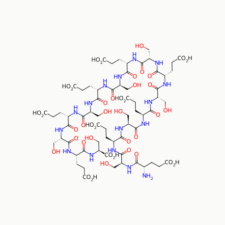 N[C@@H](CCC(=O)O)C(=O)N[C@@H](CO)C(=O)N[C@@H](CCC(=O)O)C(=O)N[C@@H](CO)C(=O)N[C@@H](CCC(=O)O)C(=O)N[C@@H](CO)C(=O)N[C@@H](CCC(=O)O)C(=O)N[C@@H](CO)C(=O)N[C@@H](CCC(=O)O)C(=O)N[C@@H](CO)C(=O)N[C@@H](CCC(=O)O)C(=O)N[C@@H](CO)C(=O)N[C@@H](CCC(=O)O)C(=O)N[C@@H](CO)C(=O)N[C@@H](CCC(=O)O)C(=O)N[C@@H](CO)C(=O)O